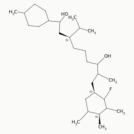 CC1CCC(C(O)C[C@H](CCCC(O)C(C)C[C@@H]2CC(C)[C@H](C)C(C)C2F)C(C)C)CC1